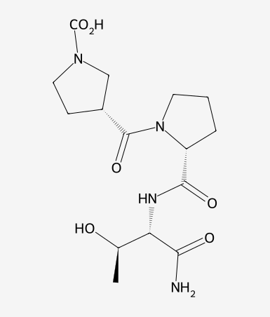 C[C@@H](O)[C@H](NC(=O)[C@H]1CCCN1C(=O)[C@@H]1CCN(C(=O)O)C1)C(N)=O